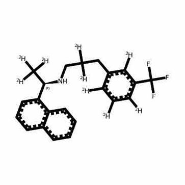 [2H]c1c([2H])c(CC([2H])([2H])CN[C@@H](c2cccc3ccccc23)C([2H])([2H])[2H])c([2H])c(C(F)(F)F)c1[2H]